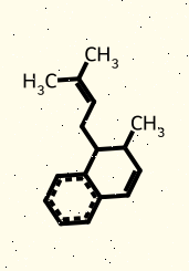 CC(C)=CCC1c2ccccc2C=CC1C